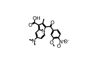 COc1cc(C(=O)c2c(C)c(C(=O)O)c3cc(N(C)C)ccn23)ccc1[N+](=O)[O-]